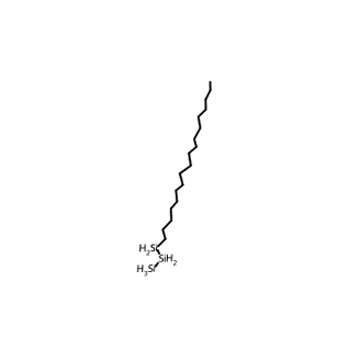 CCCCCCCCCCCCCCCCCC[SiH2][SiH2][SiH3]